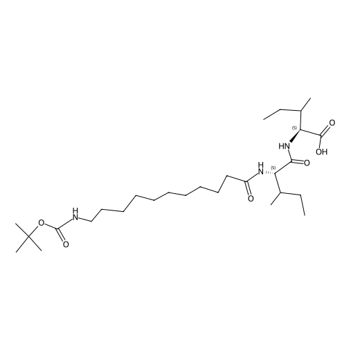 CCC(C)[C@H](NC(=O)[C@@H](NC(=O)CCCCCCCCCCNC(=O)OC(C)(C)C)C(C)CC)C(=O)O